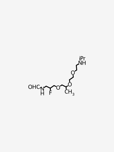 CC(C)NCCOCCOC(C)COCC(F)CNC=O